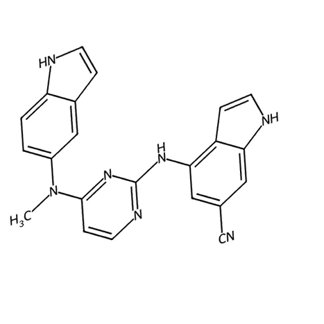 CN(c1ccc2[nH]ccc2c1)c1ccnc(Nc2cc(C#N)cc3[nH]ccc23)n1